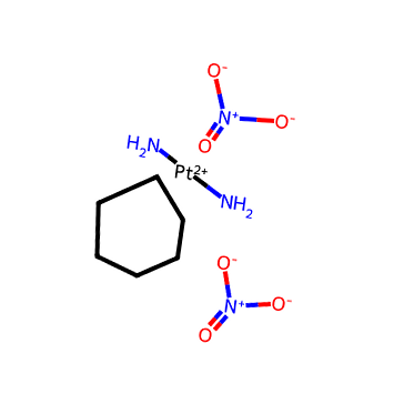 C1CCCCC1.O=[N+]([O-])[O-].O=[N+]([O-])[O-].[NH2][Pt+2][NH2]